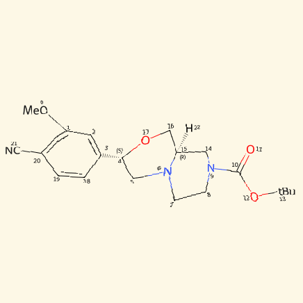 COc1cc([C@H]2CN3CCN(C(=O)OC(C)(C)C)C[C@@H]3CO2)ccc1C#N